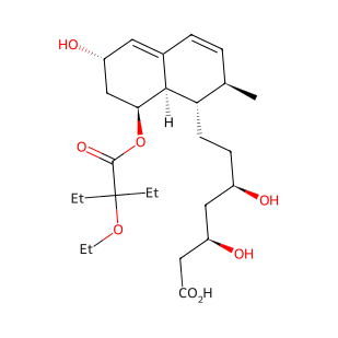 CCOC(CC)(CC)C(=O)O[C@H]1C[C@H](O)C=C2C=C[C@@H](C)[C@H](CC[C@@H](O)C[C@@H](O)CC(=O)O)[C@H]21